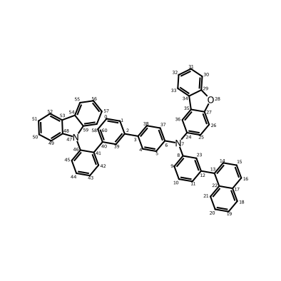 c1cc(-c2ccc(N(c3cccc(-c4cccc5ccccc45)c3)c3ccc4oc5ccccc5c4c3)cc2)cc(-c2ccccc2-n2c3ccccc3c3ccccc32)c1